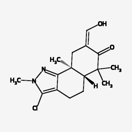 Cn1nc2c(c1Cl)CC[C@H]1C(C)(C)C(=O)/C(=C\O)C[C@]21C